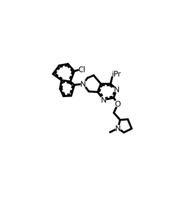 CC(C)c1nc(OCC2CCCN2C)nc2c1CCN(c1cccc3cccc(Cl)c13)C2